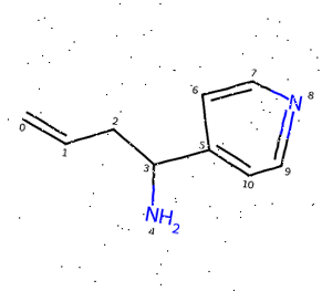 C=CCC(N)c1ccncc1